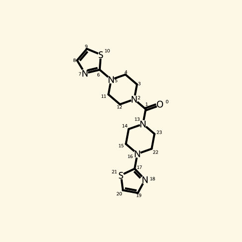 O=C(N1CCN(c2nccs2)CC1)N1CCN(c2nccs2)CC1